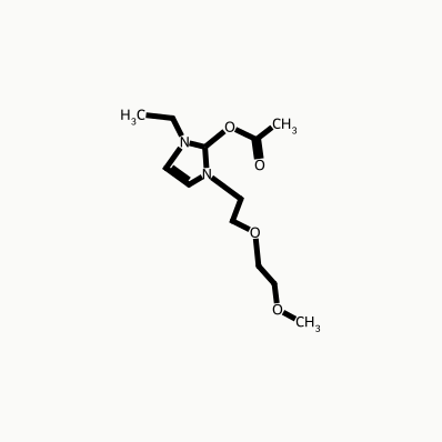 CCN1C=CN(CCOCCOC)C1OC(C)=O